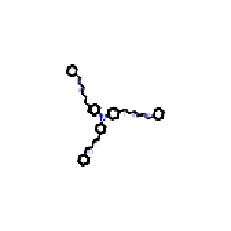 C(=C\C=C\c1ccc(N(c2ccc(/C=C/C=C/c3ccccc3)cc2)c2ccc(CC/C=C/C=C/c3ccccc3)cc2)cc1)/C=C/c1ccccc1